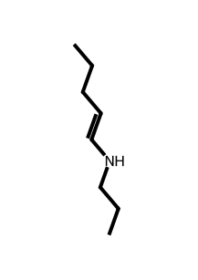 CCCC=CNCCC